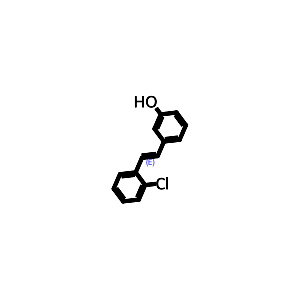 Oc1cccc(/C=C/c2ccccc2Cl)c1